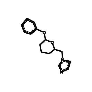 c1ccc(OC2CCCC(Cn3ccnc3)O2)cc1